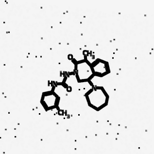 Cc1cccc(NC(=O)NN2CC(N3CCCCCC3)c3ccccc3C(C)C2=O)c1